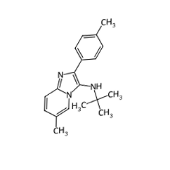 Cc1ccc(-c2nc3ccc(C)cn3c2NC(C)(C)C)cc1